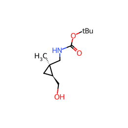 CC(C)(C)OC(=O)NC[C@]1(C)C[C@@H]1CO